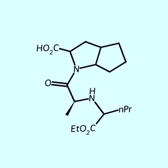 CCCC(N[C@@H](C)C(=O)N1C(C(=O)O)CC2CCCC21)C(=O)OCC